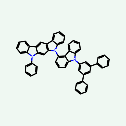 c1ccc(-c2cc(-c3ccccc3)cc(-n3c4ccccc4c4c(-n5c6ccccc6c6cc7c8ccccc8n(-c8ccccc8)c7cc65)cccc43)c2)cc1